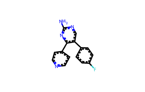 Nc1ncc(-c2ccc(F)cc2)c(-c2ccncc2)n1